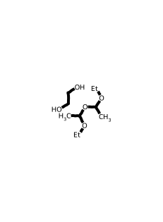 CCOC(C)OC(C)OCC.OCCO